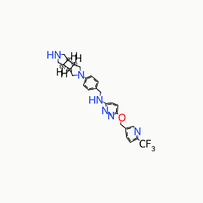 FC(F)(F)c1ccc(COc2ccc(NCc3ccc(N4C[C@@H]5[C@H]6CNC[C@H]6[C@@H]5C4)cc3)nn2)cn1